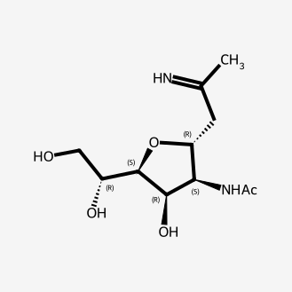 CC(=N)C[C@H]1O[C@H]([C@H](O)CO)[C@H](O)[C@@H]1NC(C)=O